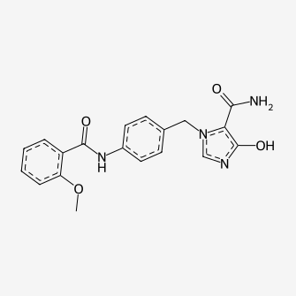 COc1ccccc1C(=O)Nc1ccc(Cn2cnc(O)c2C(N)=O)cc1